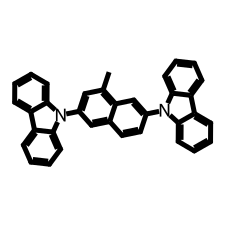 Cc1cc(-n2c3ccccc3c3ccccc32)cc2ccc(-n3c4ccccc4c4ccccc43)cc12